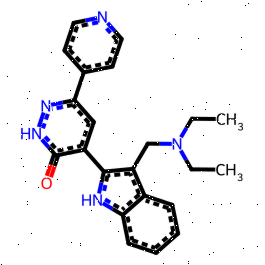 CCN(CC)Cc1c(-c2cc(-c3ccncc3)n[nH]c2=O)[nH]c2ccccc12